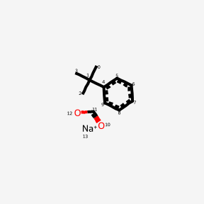 CC(C)(C)c1ccccc1.O=C[O-].[Na+]